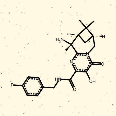 CC1(C)[C@H]2Cn3c(nc(C(=O)NCc4ccc(F)cc4)c(O)c3=O)[C@H](N)[C@]1(C)C2